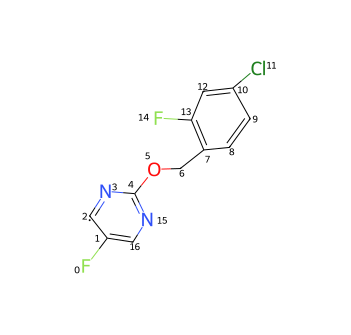 Fc1[c]nc(OCc2ccc(Cl)cc2F)nc1